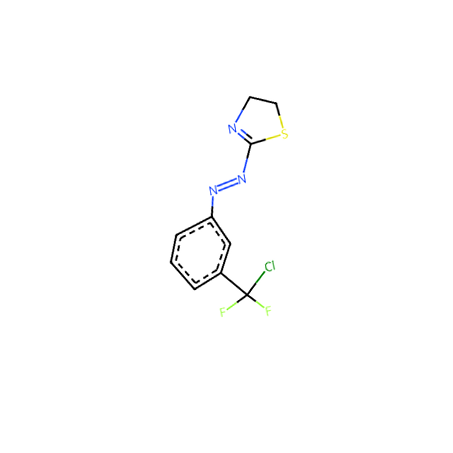 FC(F)(Cl)c1cccc(N=NC2=NCCS2)c1